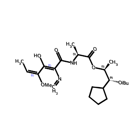 C=N/C(C(=O)N[C@@H](C)C(=O)O[C@@H](C)[C@H](OCC(C)C)C1CCCC1)=C(O)\C(=C/C)OC